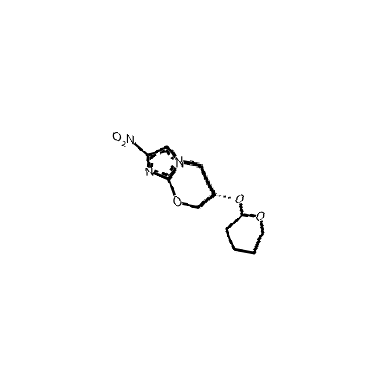 O=[N+]([O-])c1cn2c(n1)OC[C@@H](OC1CCCCO1)C2